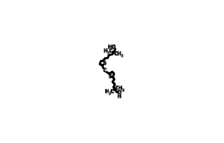 CC(C)(CO)CCCCC1CCC(CCCC2CCC(CCCCC(C)(C)CO)S2)S1